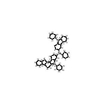 c1ccc(N(c2ccc3c(c2)c2ccccc2n3-c2ccccc2)c2ccc3c4c5sc6ccccc6c5ccc4n(-c4ccccc4)c3c2)cc1